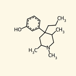 CCCC1(c2cccc(O)c2)CC(C)N(C)CC1C